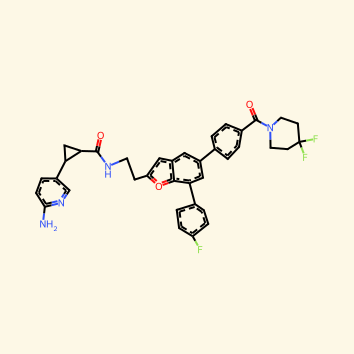 Nc1ccc(C2CC2C(=O)NCCc2cc3cc(-c4ccc(C(=O)N5CCC(F)(F)CC5)cc4)cc(-c4ccc(F)cc4)c3o2)cn1